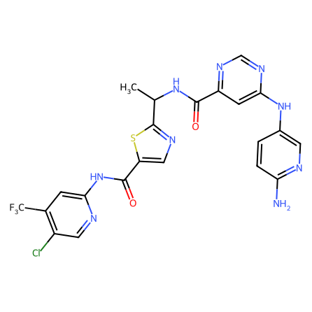 CC(NC(=O)c1cc(Nc2ccc(N)nc2)ncn1)c1ncc(C(=O)Nc2cc(C(F)(F)F)c(Cl)cn2)s1